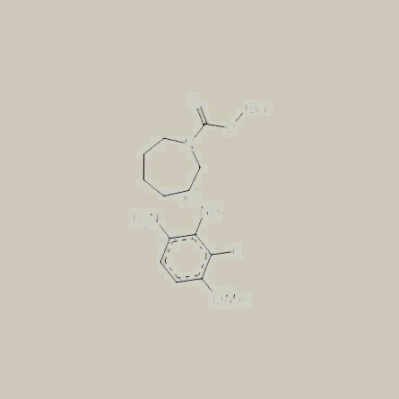 COc1ccc(N)c(N[C@@H]2CCCCN(C(=O)OC(C)(C)C)C2)c1Cl